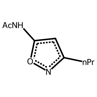 CCCc1cc(NC(C)=O)on1